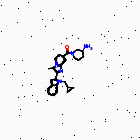 Cc1c(-c2cc3ccccc3n2CC2CC2)nc2cc(C(=O)N3CCC[C@@H](N)C3)ccn12